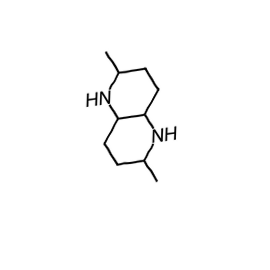 CC1CCC2NC(C)CCC2N1